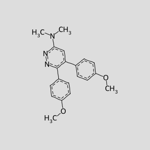 COc1ccc(-c2cc(N(C)C)nnc2-c2ccc(OC)cc2)cc1